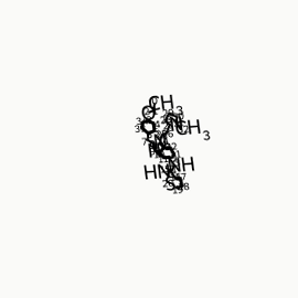 CCOc1ccc(Cc2nc3cc(NC(=N)c4cccs4)ccc3n2CCC2CCCN2C)cc1